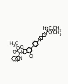 CCOC(=O)C(c1ncn2c1CCC2)N1Cc2c(Cl)cc(-c3ccc(N4CC5(CN(C(=O)OC(C)(C)C)C5)C4)cc3)cc2C1=O